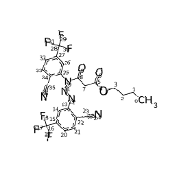 CCCCOC(=O)CC(=O)N(N=Nc1cc(C(F)(F)F)ccc1C#N)c1cc(C(F)(F)F)ccc1C#N